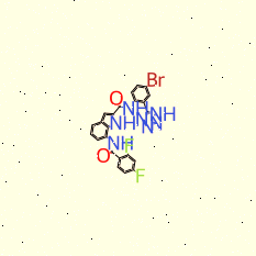 O=C(Nc1ccc(Br)cc1-c1nnn[nH]1)c1cc2cccc(NC(=O)c3ccc(F)cc3F)c2[nH]1